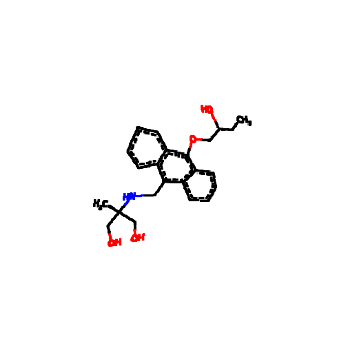 CCC(O)COc1c2ccccc2c(CNC(C)(CO)CO)c2ccccc12